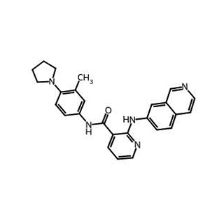 Cc1cc(NC(=O)c2cccnc2Nc2ccc3ccncc3c2)ccc1N1CCCC1